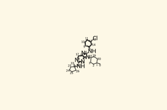 CC1CCC(n2c(Nc3cccc(Cl)c3)nc3cnc(NC4(C)CCCC4)nc32)CC1